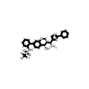 C[C@H](c1csc(-c2ccccc2)n1)[C@@H]1COc2cc(-c3ccccc3NS(=O)(=O)C(F)(F)F)ccc2[C@H]1O